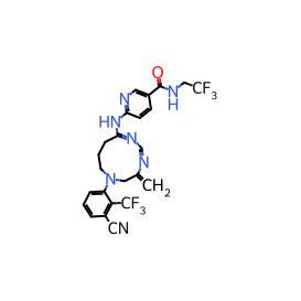 C=C1CN(c2cccc(C#N)c2C(F)(F)F)CCC/C(Nc2ccc(C(=O)NCC(F)(F)F)cn2)=N\C=N/1